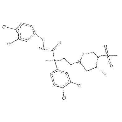 C[C@@H]1CN(CC[C@](C)(C(=O)NCc2ccc(Cl)c(Cl)c2)c2ccc(Cl)c(Cl)c2)CCN1S(C)(=O)=O